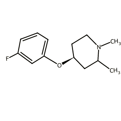 CC1C[C@@H](Oc2cccc(F)c2)CCN1C